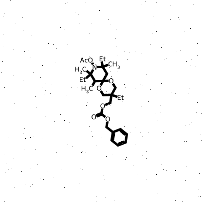 CCC1(COC(=O)OCc2ccccc2)COC2(CC(C)(CC)N(OC(C)=O)C(C)(CC)C2C)OC1